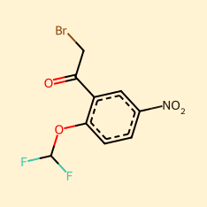 O=C(CBr)c1cc([N+](=O)[O-])ccc1OC(F)F